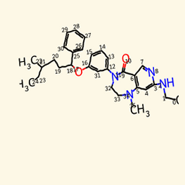 CCNc1cc2c(cn1)C(=O)N(c1cccc(OC(CCC(C)CC)c3ccccc3)c1)CCN2C